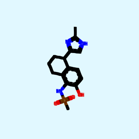 Cc1nc(C2CCCc3c2ccc(O)c3NS(C)(=O)=O)c[nH]1